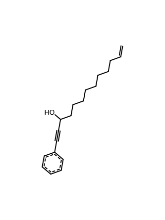 C=CCCCCCCCCC(O)C#Cc1ccccc1